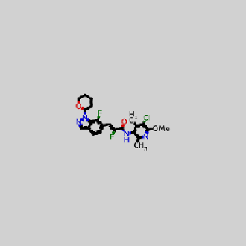 COc1nc(C)c(NC(=O)/C(F)=C/c2ccc3cnn(C4CCCCO4)c3c2F)c(C)c1Cl